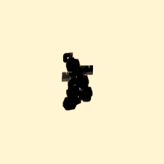 O[C@@H](c1ccc(N2CCOCC2)cc1)[C@H](NCCN1CCC2(CC1)OCc1ccccc12)c1ccc(Cl)cc1